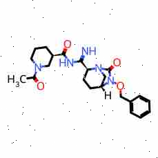 CC(=O)N1CCC[C@@H](C(=O)NC(=N)[C@@H]2CC[C@@H]3CN2C(=O)N3OCc2ccccc2)C1